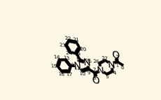 CC(=O)N1CCN(C(=O)c2cn(-c3ccccc3)c(-c3ccccc3)n2)CC1